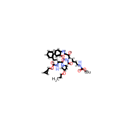 C=CCO[C@@H]1C[C@@H](C(=O)N[C@@H](CCCCNC(=O)OC(C)(C)C)C(=O)c2nc3ccccc3o2)N(C(=O)[C@@H](CCc2ccccc2)NC(=O)OCC2CC2)C1